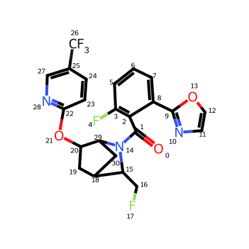 O=C(c1c(F)cccc1-c1ncco1)N1C(CF)C2CC(Oc3ccc(C(F)(F)F)cn3)C1C2